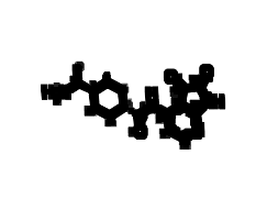 CC(N)[C@H]1CC[C@H](C(=O)Nc2ccnc3c2C(=O)C(=O)N3)CC1